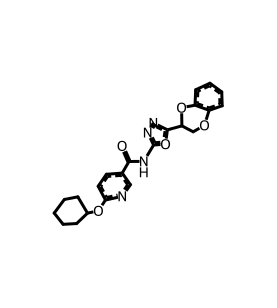 O=C(Nc1nnc(C2COc3ccccc3O2)o1)c1ccc(OC2CCCCC2)nc1